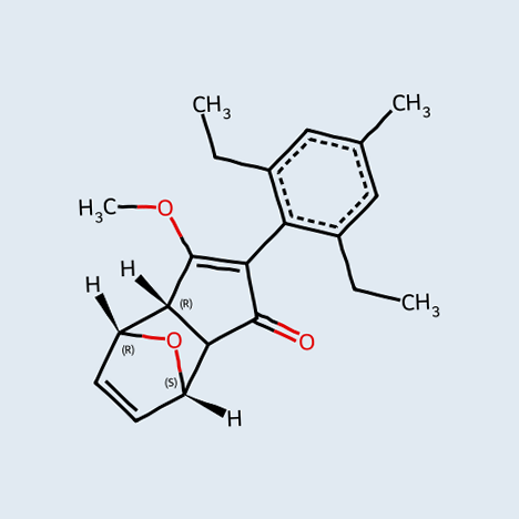 CCc1cc(C)cc(CC)c1C1=C(OC)[C@@H]2C(C1=O)[C@@H]1C=C[C@H]2O1